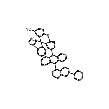 N#Cc1ccc2c(c1)C1(c3cc(-c4c5ccccc5c(-c5cccc6cc(-c7ccccc7)ccc56)c5ccccc45)ccc3S2)c2ccccc2-c2ccccc21